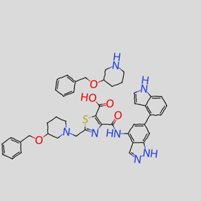 O=C(Nc1cc(-c2cccc3[nH]ccc23)cc2[nH]ncc12)c1nc(CN2CCCC(OCc3ccccc3)C2)sc1C(=O)O.c1ccc(COC2CCCNC2)cc1